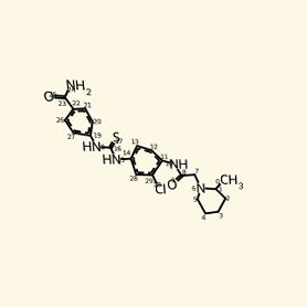 CC1CCCCN1CC(=O)Nc1ccc(NC(=S)Nc2ccc(C(N)=O)cc2)cc1Cl